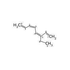 C=C/C=C\C=C(/C=C)CC